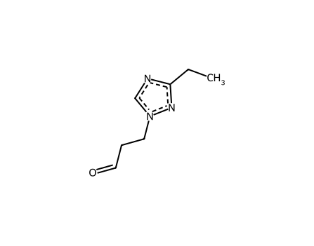 CCc1ncn(CCC=O)n1